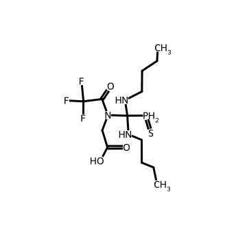 CCCCNC(NCCCC)([PH2]=S)N(CC(=O)O)C(=O)C(F)(F)F